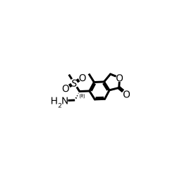 Cc1c([C@H](CN)S(C)(=O)=O)ccc2c1COC2=O